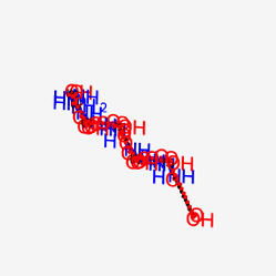 C[C@@H](O)C(NC(=O)[C@H](CCCCNC(=O)CC[C@H](NC(=O)COCCOCCNC(=O)CC[C@H](NC(=O)COCCOCCNC(=O)CC[C@H](NC(=O)COCCOCCNC(=O)CC[C@H](NCCCCNC(=O)CCCCCCCCCCCCCCCCC(=O)O)C(=O)O)C(=O)O)C(=O)O)C(=O)O)NI)C(N)=O